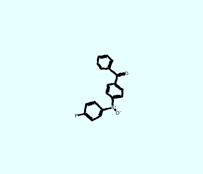 O=C(c1ccccc1)c1ccc([S+]([O-])c2ccc(F)cc2)cc1